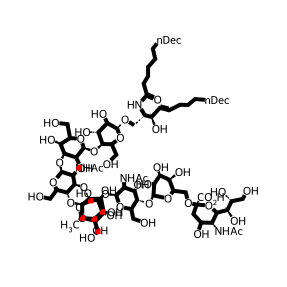 CCCCCCCCCCCCC/C=C/[C@@H](O)[C@H](CO[C@@H]1OC(CO)[C@@H](O[C@@H]2OC(CO)[C@H](O)[C@H](O[C@@H]3OC(CO)[C@@H](O[C@@H]4OC(CO)[C@H](O)[C@H](O[C@@H]5OC(CO)[C@@H](O[C@@H]6OC(CO[C@]7(C(=O)O)CC(O)[C@@H](NC(C)=O)C([C@H](O)[C@H](O)CO)O7)[C@H](O)[C@H](O)C6O)[C@H](O)C5NC(C)=O)C4O)[C@H](O[C@H]4OC(C)[C@@H](O)C(O)[C@@H]4O)C3NC(C)=O)C2O)[C@H](O)C1O)NC(=O)CCCCCCCCCCCCCCC